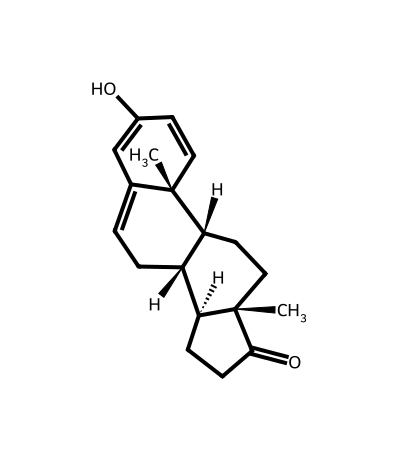 C[C@]12C=CC(O)=CC1=CC[C@@H]1[C@H]2CC[C@]2(C)C(=O)CC[C@@H]12